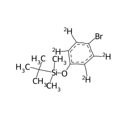 [2H]c1c([2H])c(O[Si](C)(C)C(C)(C)C)c([2H])c([2H])c1Br